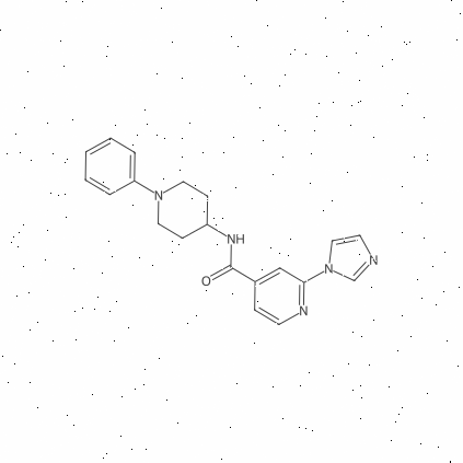 O=C(NC1CCN(c2ccccc2)CC1)c1ccnc(-n2ccnc2)c1